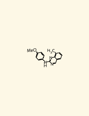 COc1ccc(Nc2ncc3cccc(C)c3n2)cc1